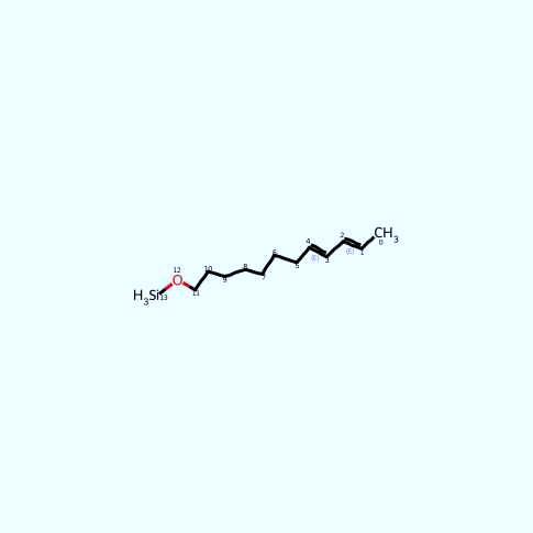 C/C=C/C=C/CCCCCCCO[SiH3]